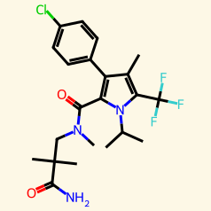 Cc1c(-c2ccc(Cl)cc2)c(C(=O)N(C)CC(C)(C)C(N)=O)n(C(C)C)c1C(F)(F)F